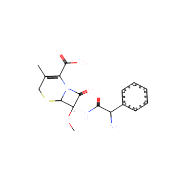 CO[C@]1(NC(=O)C(N)c2ccccc2)C(=O)N2C(C(=O)O)=C(C)CSC21